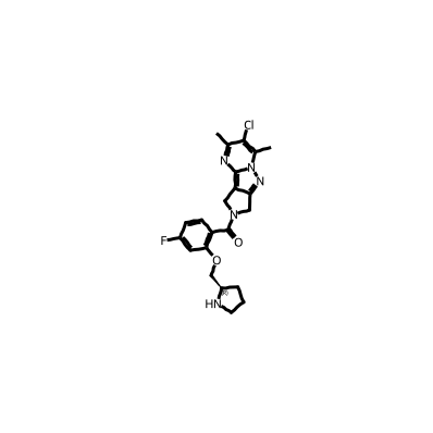 Cc1nc2c3c(nn2c(C)c1Cl)CN(C(=O)c1ccc(F)cc1OC[C@H]1CCCN1)C3